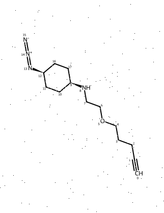 C#CCCCOCCN[C@H]1CC[C@@H](N=[N+]=[N-])CC1